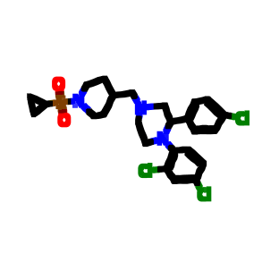 O=S(=O)(C1CC1)N1CCC(CN2CCN(c3ccc(Cl)cc3Cl)C(c3ccc(Cl)cc3)C2)CC1